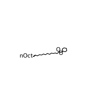 CCCCCCCCC=CCCCCCCCCCCCC(=O)OC1CCCCC1